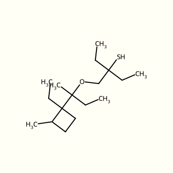 CCC(S)(CC)COC(C)(CC)C1(CC)CCC1C